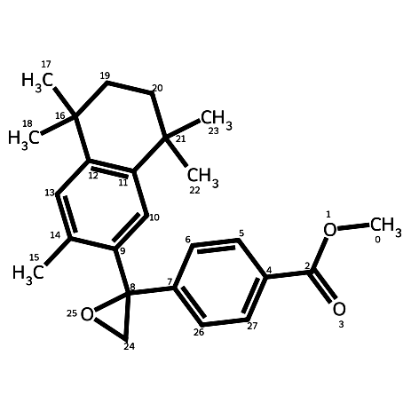 COC(=O)c1ccc(C2(c3cc4c(cc3C)C(C)(C)CCC4(C)C)CO2)cc1